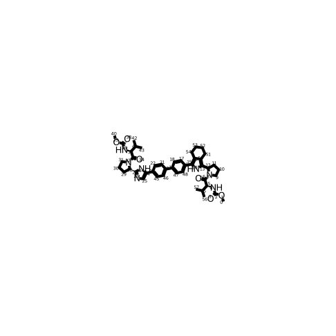 COC(=O)N[C@H](C(=O)N1CCCC1c1[nH]c(-c2ccc(-c3ccc(-c4cnc([C@@H]5CCCN5C(=O)[C@@H](NC(=O)OC)C(C)C)[nH]4)cc3)cc2)c2c1CCCC2)C(C)C